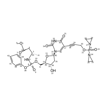 COC(=O)C[C@H](C)NP(=O)(OC[C@H]1O[C@@H](n2cc(C#CCOP(=O)(N3CC3)N3CC3)c(=O)[nH]c2=O)C[C@@H]1O)Oc1ccccc1